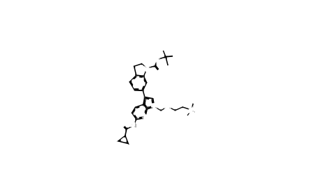 CC(C)(C)OC(=O)N1CCc2ccc(-c3cn(COCC[Si](C)(C)C)c4nc(NC(=O)C5CC5)ccc34)cc21